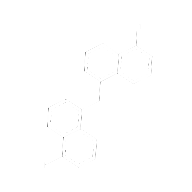 Clc1cccc2c([C]c3cccc4c(Cl)cccc34)cccc12